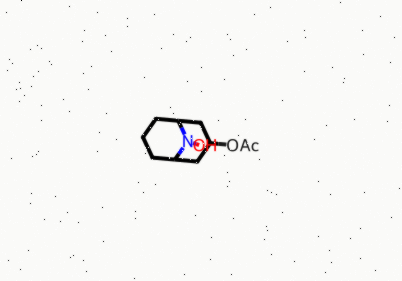 CC(=O)OC1CC2CCCC(C1)N2O